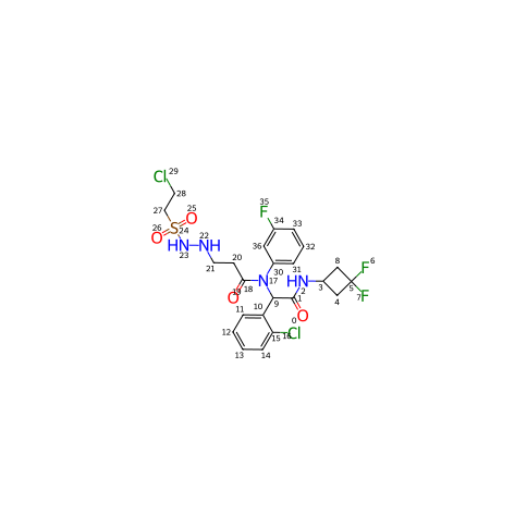 O=C(NC1CC(F)(F)C1)C(c1ccccc1Cl)N(C(=O)CCNNS(=O)(=O)CCCl)c1cccc(F)c1